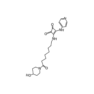 O=C(CCCCCCCNc1c(Nc2ccncc2)c(=O)c1=O)N1CCC(O)CC1